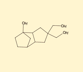 OCC1(CO)CC2C3CCC(O)(C3)C2C1